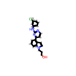 OCCCn1ccc2c(-c3ccnc(Nc4cccc(Cl)c4)n3)cccc21